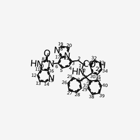 O=C(O)C(Cc1ccc(-n2c(=O)[nH]c3cccnc32)c2nccn12)NC(c1ccccc1)(c1ccccc1)c1ccccc1